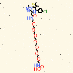 Cc1sc2c(c1C)C(c1ccc(Cl)cc1)=N[C@@H](CC(=O)NCCOCCOCCOCCOCCOCCOCCOCCNC(=O)O)c1nnc(C)n1-2